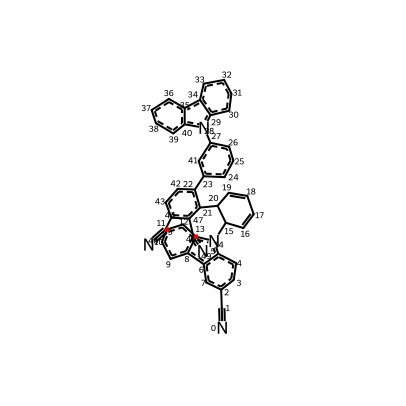 N#Cc1ccc2c(c1)c1ccccc1n2C1C=CC=CC1c1c(-c2cccc(-n3c4ccccc4c4ccccc43)c2)ccc(C#N)c1C#N